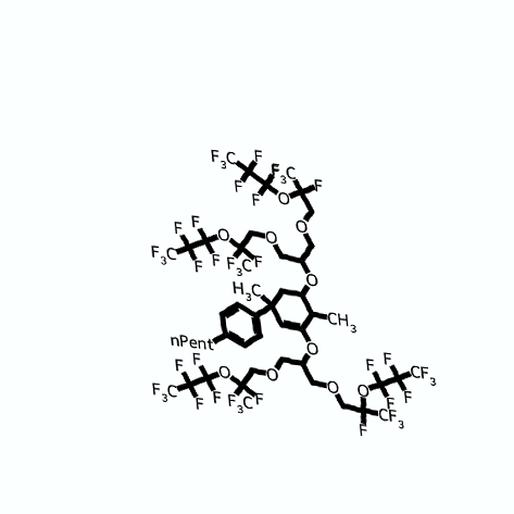 CCCCCc1ccc(C2(C)C=C(OC(COCC(F)(OC(F)(F)C(F)(F)C(F)(F)F)C(F)(F)F)COCC(F)(OC(F)(F)C(F)(F)C(F)(F)F)C(F)(F)F)C(C)C(OC(COCC(F)(OC(F)(F)C(F)(F)C(F)(F)F)C(F)(F)F)COCC(F)(OC(F)(F)C(F)(F)C(F)(F)F)C(F)(F)F)C2)cc1